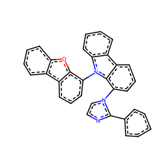 c1ccc(-c2nccn2-c2cccc3c4ccccc4n(-c4cccc5c4oc4ccccc45)c23)cc1